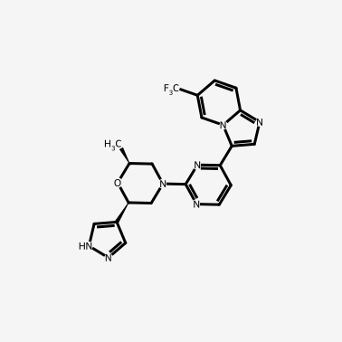 C[C@H]1CN(c2nccc(-c3cnc4ccc(C(F)(F)F)cn34)n2)C[C@@H](c2cn[nH]c2)O1